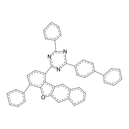 c1ccc(-c2ccc(-c3nc(-c4ccccc4)nc(-c4ccc(-c5ccccc5)c5oc6cc7ccccc7cc6c45)n3)cc2)cc1